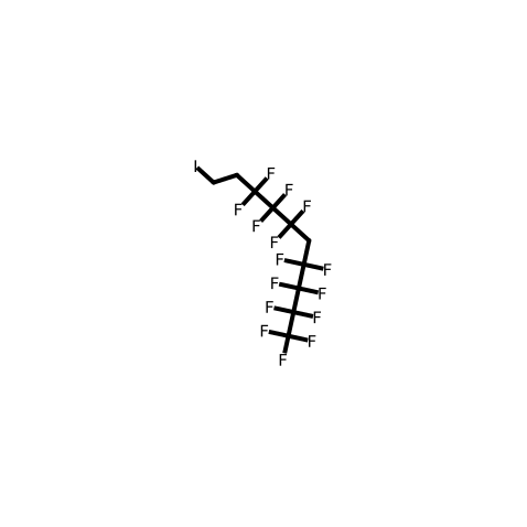 FC(F)(F)C(F)(F)C(F)(F)C(F)(F)CC(F)(F)C(F)(F)C(F)(F)CCI